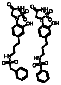 O=C1CN(c2ccc(CCCNS(=O)(=O)Cc3ccccc3)cc2O)S(=O)(=O)N1.O=C1CN(c2ccc(CCCNS(=O)(=O)c3ccccc3)cc2O)S(=O)(=O)N1